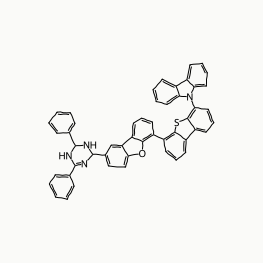 c1ccc(C2=NC(c3ccc4oc5c(-c6cccc7c6sc6c(-n8c9ccccc9c9ccccc98)cccc67)cccc5c4c3)NC(c3ccccc3)N2)cc1